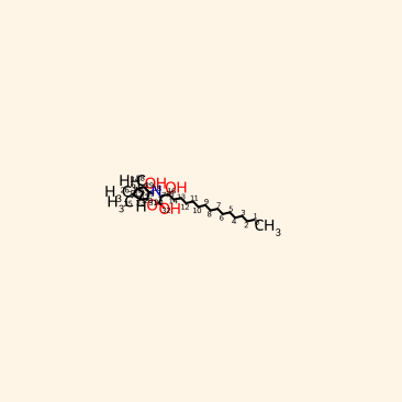 CCCCCCCCCCCCCCCC(O)C(N=C1C[C@@H]2C[C@@H](C2(C)C)[C@]1(C)O)C(=O)O